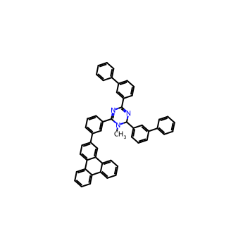 CN1C(c2cccc(-c3ccc4c5ccccc5c5ccccc5c4c3)c2)=NC(c2cccc(-c3ccccc3)c2)=NC1c1cccc(-c2ccccc2)c1